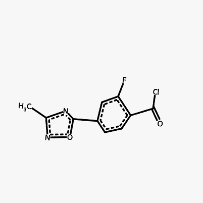 Cc1noc(-c2ccc(C(=O)Cl)c(F)c2)n1